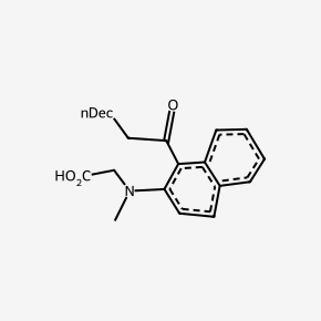 CCCCCCCCCCCC(=O)c1c(N(C)CC(=O)O)ccc2ccccc12